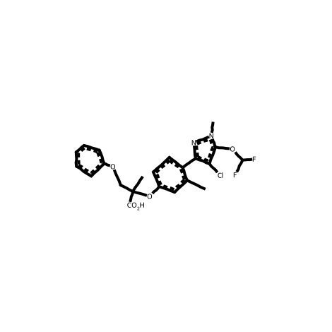 Cc1cc(OC(C)(COc2ccccc2)C(=O)O)ccc1-c1nn(C)c(OC(F)F)c1Cl